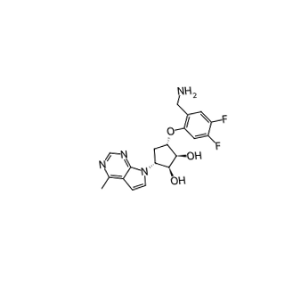 Cc1ncnc2c1ccn2[C@@H]1C[C@H](Oc2cc(F)c(F)cc2CN)[C@@H](O)[C@H]1O